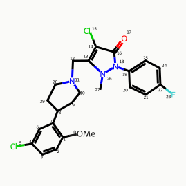 COc1ccc(Cl)cc1C1CCN(Cc2c(Cl)c(=O)n(-c3ccc(F)cc3)n2C)CC1